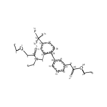 CCOCC(=O)N(CC)Cc1cc(C(F)(F)F)ccc1-c1cncc(CC(=O)OCC)c1